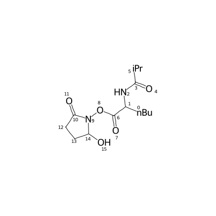 CCCCC(NC(=O)C(C)C)C(=O)ON1C(=O)CCC1O